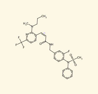 CCCN(C)c1nc(C(F)(F)F)ccc1/C=C\C(=O)NCc1ccc(N(c2ccccc2)S(C)(=O)=O)c(F)c1